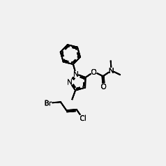 Cc1cc(OC(=O)N(C)C)n(-c2ccccc2)n1.ClC=CCBr